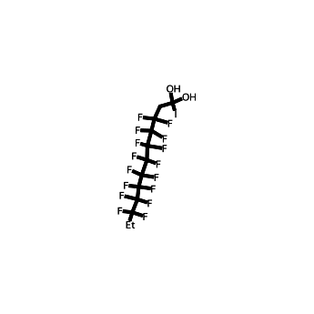 CCC(F)(F)C(F)(F)C(F)(F)C(F)(F)C(F)(F)C(F)(F)C(F)(F)C(F)(F)CC(O)(O)I